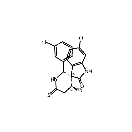 CC(C)[C@H]1CC(=S)NC(c2cccc(Cl)c2)[C@]12C(=O)Nc1cc(Cl)ccc12